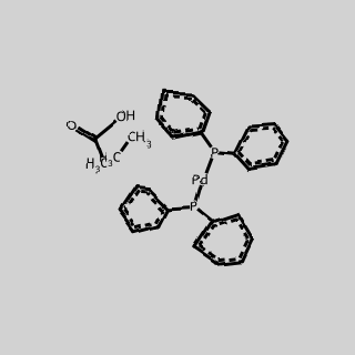 CC.CC(=O)O.c1ccc([P]([Pd][P](c2ccccc2)c2ccccc2)c2ccccc2)cc1